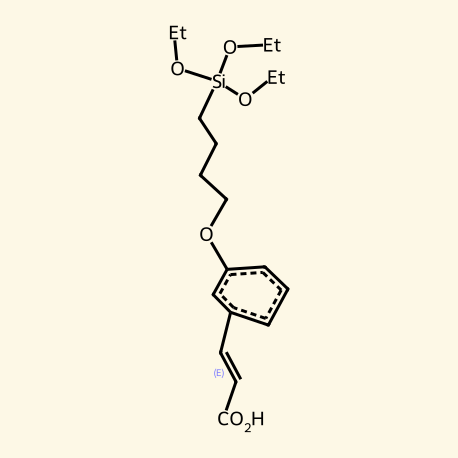 CCO[Si](CCCCOc1cccc(/C=C/C(=O)O)c1)(OCC)OCC